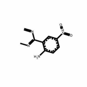 C=N/C(=N\C)c1cc([SH](=O)=O)ccc1N